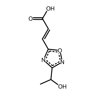 CC(O)c1noc(/C=C/C(=O)O)n1